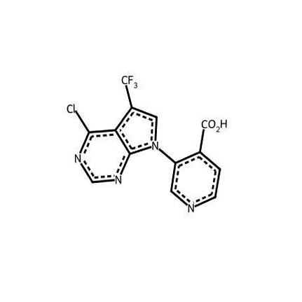 O=C(O)c1ccncc1-n1cc(C(F)(F)F)c2c(Cl)ncnc21